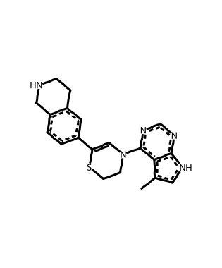 Cc1c[nH]c2ncnc(N3C=C(c4ccc5c(c4)CCNC5)SCC3)c12